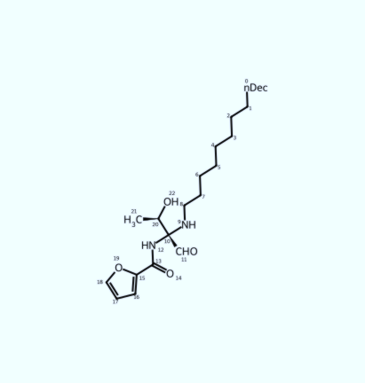 CCCCCCCCCCCCCCCCCCN[C@](C=O)(NC(=O)c1ccco1)[C@@H](C)O